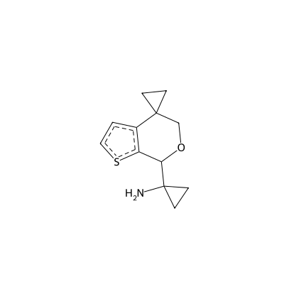 NC1(C2OCC3(CC3)c3ccsc32)CC1